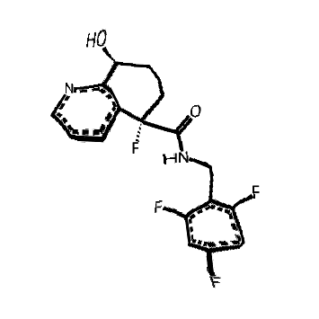 O=C(NCc1c(F)cc(F)cc1F)[C@]1(F)CC[C@H](O)c2ncccc21